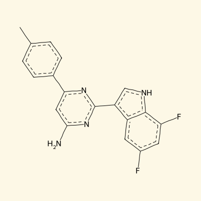 Cc1ccc(-c2cc(N)nc(-c3c[nH]c4c(F)cc(F)cc34)n2)cc1